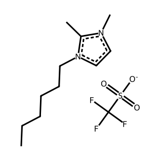 CCCCCC[n+]1ccn(C)c1C.O=S(=O)([O-])C(F)(F)F